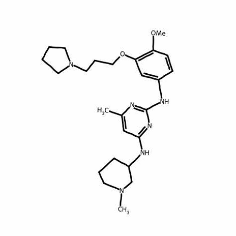 COc1ccc(Nc2nc(C)cc(NC3CCCN(C)C3)n2)cc1OCCCN1CCCC1